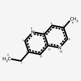 CCc1cnc2cc(C)cnc2c1